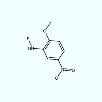 COc1ccc([N+](=O)[O-])cc1NF